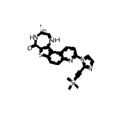 C[C@@H]1CNc2c(sc3ccc4nc(-n5ccnc5C#C[Si](C)(C)C)ccc4c23)C(=O)N1